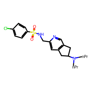 CCCN(CCC)C1Cc2cnc(CNS(=O)(=O)c3ccc(Cl)cc3)cc2C1